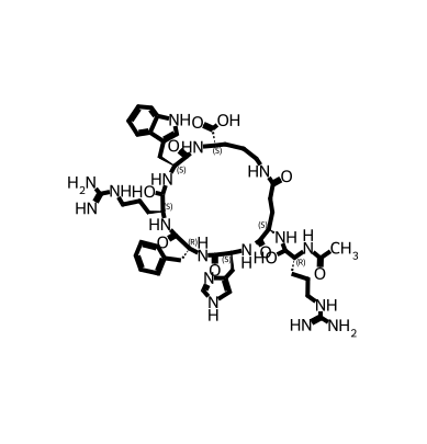 CC(=O)N[C@H](CCCNC(=N)N)C(O)N[C@H]1CCC(=O)NCCC[C@@H](C(=O)O)NC(=O)[C@H](Cc2c[nH]c3ccccc23)NC(O)[C@H](CCCNC(=N)N)NC(=O)[C@@H](Cc2ccccc2)NC(=O)[C@H](Cc2c[nH]cn2)NC1=O